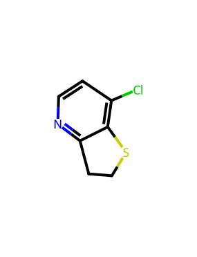 Clc1ccnc2c1SCC2